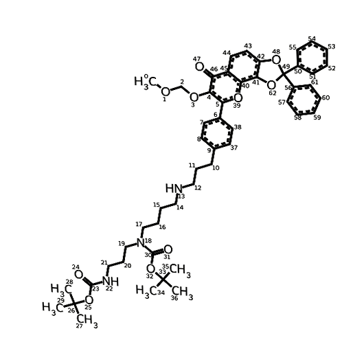 COCOc1c(-c2ccc(CCCNCCCCN(CCCNC(=O)OC(C)(C)C)C(=O)OC(C)(C)C)cc2)oc2c3c(ccc2c1=O)OC(c1ccccc1)(c1ccccc1)O3